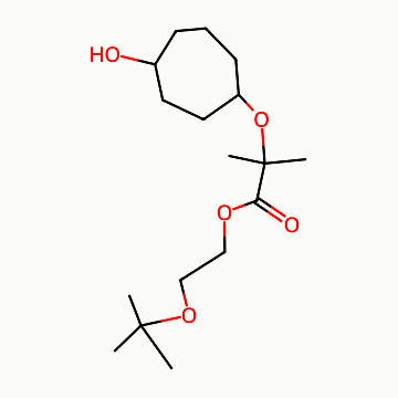 CC(C)(C)OCCOC(=O)C(C)(C)OC1CCCC(O)CC1